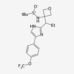 CCC(c1nc(-c2ccc(OC(F)(F)F)cc2)c[nH]1)C1(N[S+]([O-])C(C)(C)C)COC1